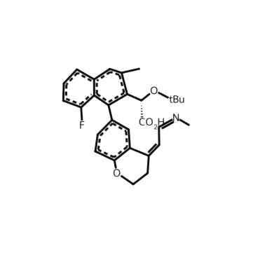 C/N=C\C=C1\CCOc2ccc(-c3c([C@H](OC(C)(C)C)C(=O)O)c(C)cc4cccc(F)c34)cc21